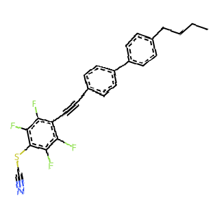 CCCCc1ccc(-c2ccc(C#Cc3c(F)c(F)c(SC#N)c(F)c3F)cc2)cc1